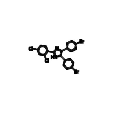 Clc1ccc(-c2nc(-c3ccc(Br)cc3)c(-c3ccc(Br)cc3)[nH]2)c(Cl)c1